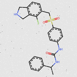 CC(NC(=O)Nc1ccc(S(=O)(=O)Cc2ccc3c(c2F)CNC3)cc1)c1ccccc1